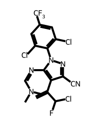 C=C(c1c(C#N)nn(-c2c(Cl)cc(C(F)(F)F)cc2Cl)c1/N=C\N(C)C)C(F)Cl